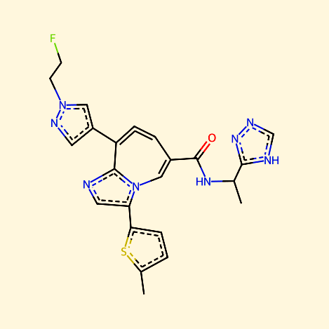 Cc1ccc(-c2cnc3n2C=C(C(=O)NC(C)c2nnc[nH]2)C=C=C3c2cnn(CCF)c2)s1